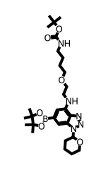 CC(C)(C)OC(=O)NCCCCOCCNc1cc(B2OC(C)(C)C(C)(C)O2)cc2c1nnn2C1CCCCO1